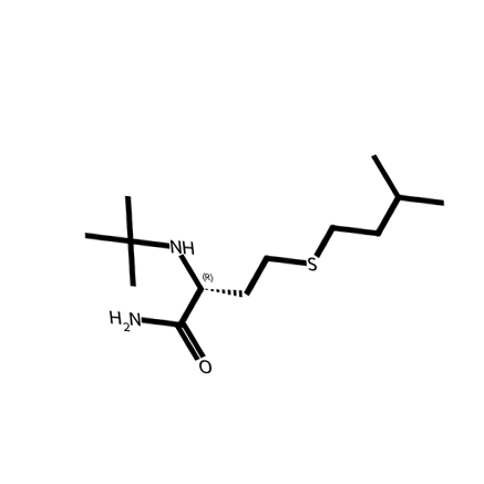 CC(C)CCSCC[C@@H](NC(C)(C)C)C(N)=O